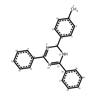 Cc1ccc(C2N=C(c3ccccc3)N=C(c3ccccc3)N2)cc1